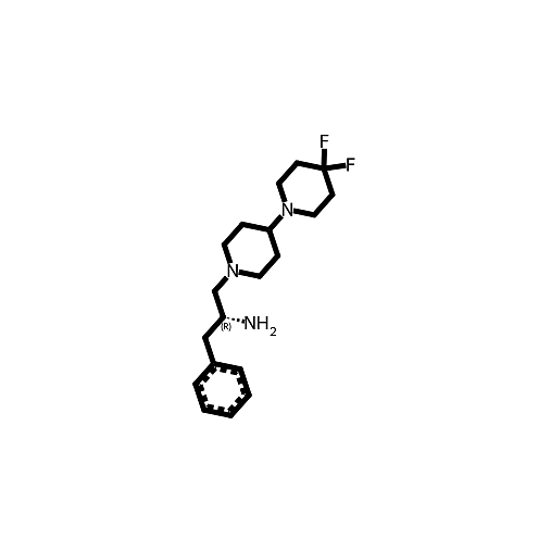 N[C@H](Cc1ccccc1)CN1CCC(N2CCC(F)(F)CC2)CC1